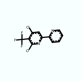 FC(F)(F)c1c(Cl)cc(-c2ccccn2)nc1Cl